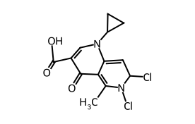 CC1=c2c(=O)c(C(=O)O)cn(C3CC3)c2=CC(Cl)N1Cl